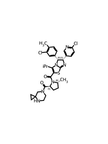 Cc1ccc([C@@H]2[C@H](c3ccc(Cl)nc3)N=C3SC(C(=O)N4[C@H](C)CC[C@H]4C(=O)N4CCNC5(CC5)C4)=C(C(C)C)N32)cc1Cl